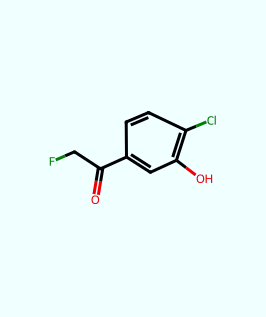 O=C(CF)c1ccc(Cl)c(O)c1